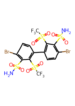 NS(=O)(=O)c1c(Br)ccc(-c2ccc(Br)c(S(N)(=O)=O)c2S(=O)(=O)C(F)(F)F)c1S(=O)(=O)C(F)(F)F